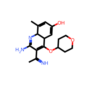 CC(=N)C1=C(OC2CCOCC2)C2C=C(O)C=C(C)C2N=C1N